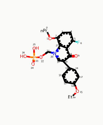 CCCOc1ccc(F)c2c(=O)c(-c3ccc(OCC)cc3)cn(COP(=O)(O)O)c12